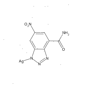 NC(=O)c1cc([N+](=O)[O-])cc2c1nn[n]2[Ag]